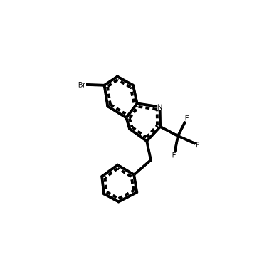 FC(F)(F)c1nc2ccc(Br)cc2cc1Cc1ccccc1